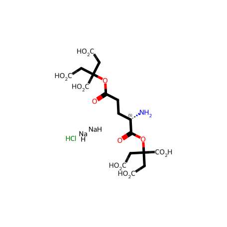 Cl.N[C@@H](CCC(=O)OC(CC(=O)O)(CC(=O)O)C(=O)O)C(=O)OC(CC(=O)O)(CC(=O)O)C(=O)O.[NaH].[NaH]